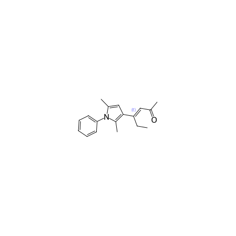 CC/C(=C\C(C)=O)c1cc(C)n(-c2ccccc2)c1C